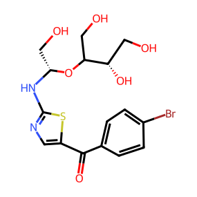 O=C(c1ccc(Br)cc1)c1cnc(N[C@H](CO)OC(CO)[C@@H](O)CO)s1